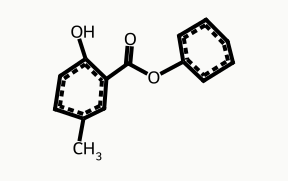 Cc1ccc(O)c(C(=O)Oc2ccccc2)c1